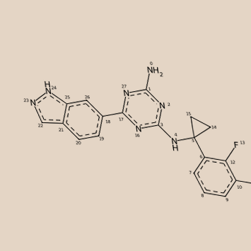 Nc1nc(NC2(c3cccc(F)c3F)CC2)nc(-c2ccc3cn[nH]c3c2)n1